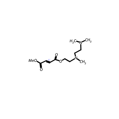 COC(=O)/C=C/C(=O)OCCN(C)CCN(C)C